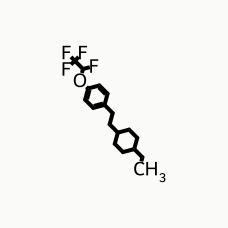 CCC1CCC(CCc2ccc(OC(F)C(F)(F)F)cc2)CC1